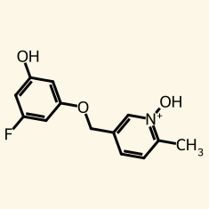 Cc1ccc(COc2cc(O)cc(F)c2)c[n+]1O